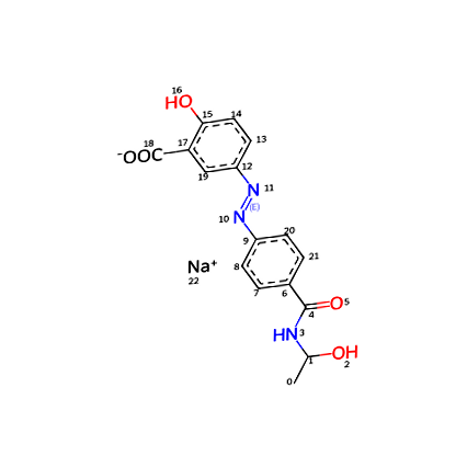 CC(O)NC(=O)c1ccc(/N=N/c2ccc(O)c(C(=O)[O-])c2)cc1.[Na+]